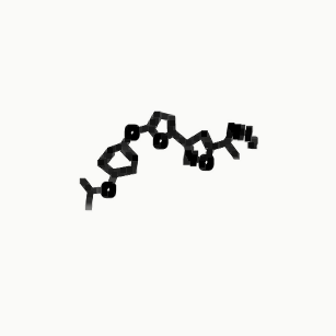 CC(C)Oc1ccc(Oc2ccc(-c3cc(C(C)N)on3)o2)cc1